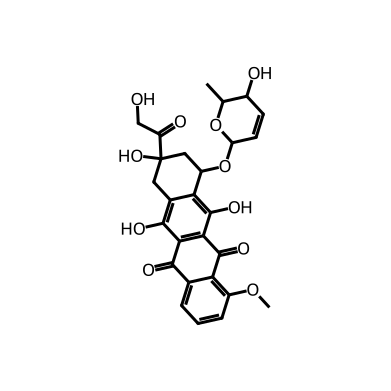 COc1cccc2c1C(=O)c1c(O)c3c(c(O)c1C2=O)CC(O)(C(=O)CO)CC3OC1C=CC(O)C(C)O1